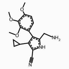 COc1ccc(-c2c(CN)[nH]c(C#N)c2C2CC2)c(OC)c1OC